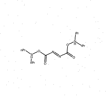 CCC[SiH](CCC)OC(=O)N=NC(=O)O[SiH](C(C)C)C(C)C